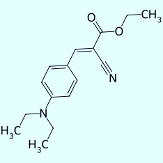 CCOC(=O)/C(C#N)=C/c1ccc(N(CC)CC)cc1